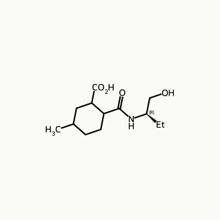 CC[C@H](CO)NC(=O)C1CCC(C)CC1C(=O)O